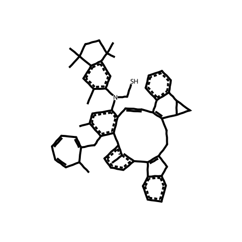 Cc1cc2c(cc1N(CS)c1cc(C)c(CC3=CC=CC=CC3C)c3c1/C=C\C1=C(CCC4=C(c5ccccc5C4)c4cccc-3c4C)C3CC3c3ccccc31)C(C)(C)CCC2(C)C